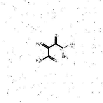 C=C(C(N)=O)C(=O)[C@@H](N)[C@@H](C)CC